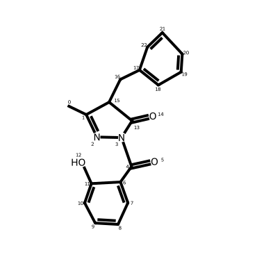 CC1=NN(C(=O)c2ccccc2O)C(=O)C1Cc1ccccc1